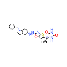 CCC/C(=C1\NC(=O)NC1=O)c1cc2oc(/N=N/c3ccc4c(c3)CCN4Cc3ccccc3)nc2s1